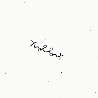 CC(C)(C)CCOC(=O)CC(=O)OCCC(C)(C)C